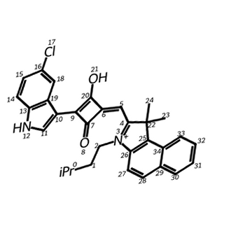 CC(C)CC[N+]1=C(/C=C2\C(=O)C(c3c[nH]c4ccc(Cl)cc34)=C2O)C(C)(C)c2c1ccc1ccccc21